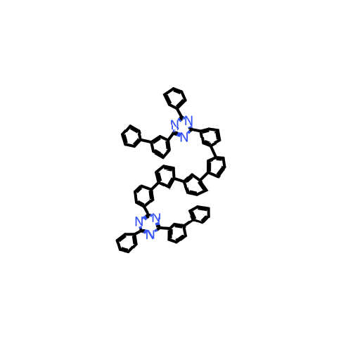 c1ccc(-c2cccc(-c3nc(-c4ccccc4)nc(-c4cccc(-c5cccc(-c6cccc(-c7cccc(-c8cccc(-c9nc(-c%10ccccc%10)nc(-c%10cccc(-c%11ccccc%11)c%10)n9)c8)c7)c6)c5)c4)n3)c2)cc1